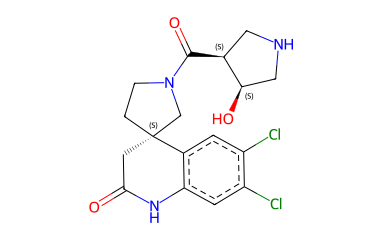 O=C1C[C@@]2(CCN(C(=O)[C@H]3CNC[C@H]3O)C2)c2cc(Cl)c(Cl)cc2N1